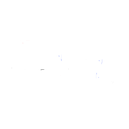 CC(C)(C)n1ncc(C(=O)N[C@H]2CC[C@]3(O)CC4CC(C3)C2C4)c1Cl